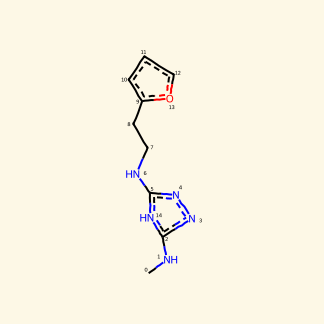 CNc1nnc(NCCc2ccco2)[nH]1